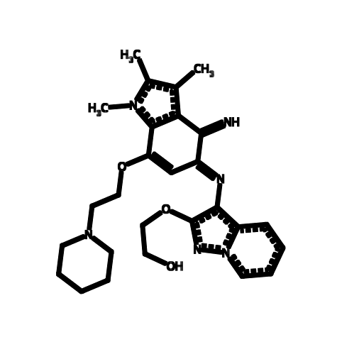 Cc1c2c(n(C)c1C)C(OCCN1CCCCC1)=C/C(=N\c1c(OCCO)nn3ccccc13)C2=N